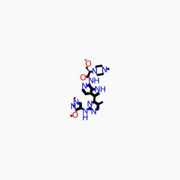 COC[C@H](C(=O)Nc1nccc2c(-c3nc(Nc4cn(C)nc4OC)ncc3C)c[nH]c12)N1CCN(C)CC1